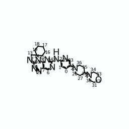 c1cc(Nc2ncc3c(n2)N2C(=NCC24CCCCC4)N=N3)ncc1N1CCC(N2CCOCC2)CC1